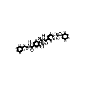 O=C(Oc1ccc(C(=O)NS(=O)(=O)c2ccc(C(=O)NCCc3ccccc3)cc2Cl)cn1)OC1CCCCC1